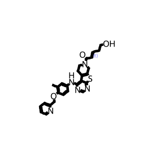 Cc1cc(Nc2ncnc3sc4c(c23)CCN(C(=O)/C=C/CCO)C4)ccc1OCc1ccccn1